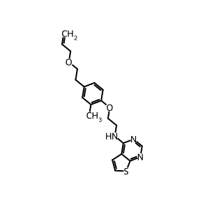 C=CCOCCc1ccc(OCCNc2ncnc3sccc23)c(C)c1